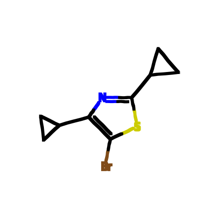 Brc1sc(C2CC2)nc1C1CC1